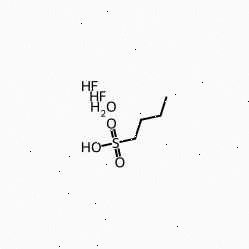 CCCCS(=O)(=O)O.F.F.O